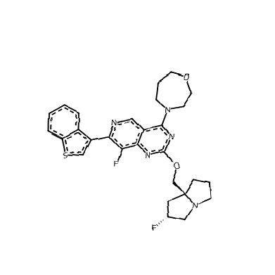 Fc1c(-c2csc3ccccc23)ncc2c(N3CCCOCC3)nc(OC[C@@]34CCCN3C[C@H](F)C4)nc12